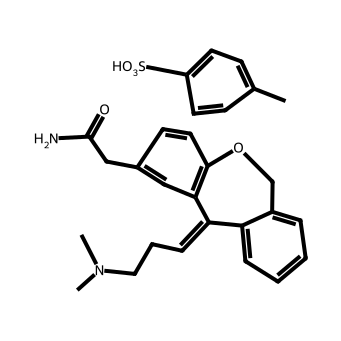 CN(C)CCC=C1c2ccccc2COc2ccc(CC(N)=O)cc21.Cc1ccc(S(=O)(=O)O)cc1